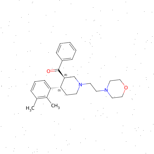 Cc1cccc([C@H]2[CH]CN(CCN3CCOCC3)C[C@@H]2C(=O)c2ccccc2)c1C